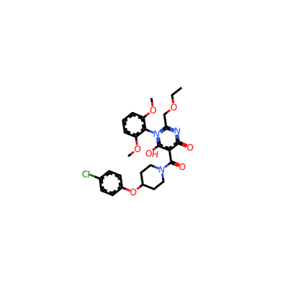 CCOCc1nc(=O)c(C(=O)N2CCC(Oc3ccc(Cl)cc3)CC2)c(O)n1-c1c(OC)cccc1OC